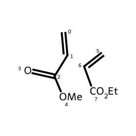 C=CC(=O)OC.C=CC(=O)OCC